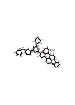 N#Cc1ccccc1-c1ccc2c3c(ccc(-c4ccc(-c5nc(-c6ccccc6)nc(-c6ccc7c(c6)oc6ccccc67)n5)cc4)c13)-c1ccccc1-2